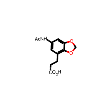 CC(=O)Nc1cc(CCC(=O)O)c2c(c1)OCO2